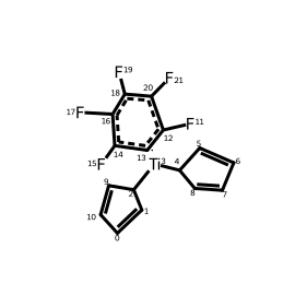 C1=C[CH]([Ti][CH]2C=CC=C2)C=C1.Fc1[c]c(F)c(F)c(F)c1F